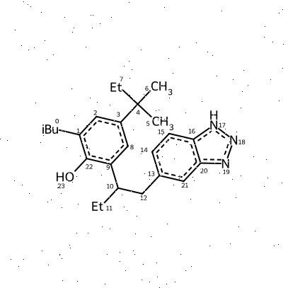 CCC(C)c1cc(C(C)(C)CC)cc(C(CC)Cc2ccc3[nH]nnc3c2)c1O